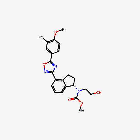 CC(C)Oc1ccc(-c2nc(-c3cccc4c3CC[C@@H]4N(CCO)C(=O)OC(C)(C)C)no2)cc1C#N